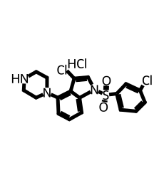 Cl.O=S(=O)(c1cccc(Cl)c1)n1cc(Cl)c2c(N3CCNCC3)cccc21